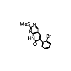 CSc1ncc2cc(-c3ccccc3Br)c(=O)[nH]c2n1